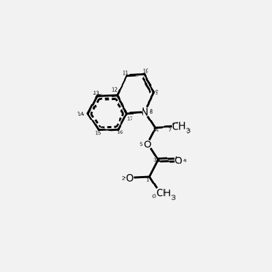 CC([O])C(=O)OC(C)N1C=CCc2ccccc21